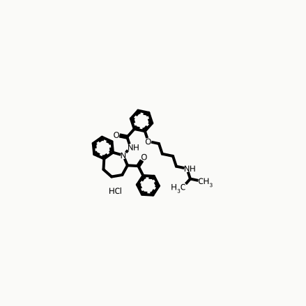 CC(C)NCCCCOc1ccccc1C(=O)NN1c2ccccc2CCCC1C(=O)c1ccccc1.Cl